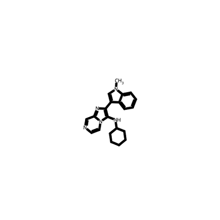 Cn1cc(-c2nc3cnccn3c2NC2CCCCC2)c2ccccc21